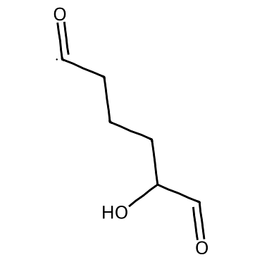 O=[C]CCCC(O)C=O